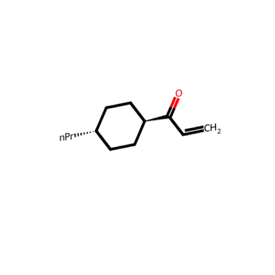 C=CC(=O)[C@H]1CC[C@H](CCC)CC1